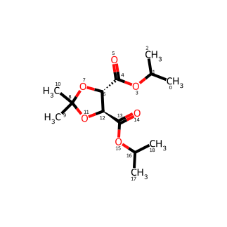 CC(C)OC(=O)[C@H]1OC(C)(C)O[C@@H]1C(=O)OC(C)C